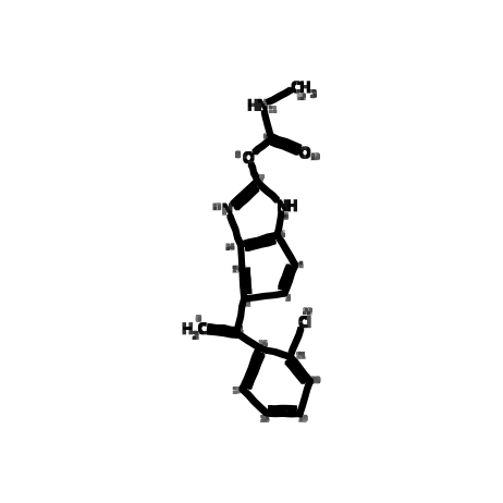 C=C(c1ccc2[nH]c(OC(=O)NC)nc2c1)c1ccccc1Cl